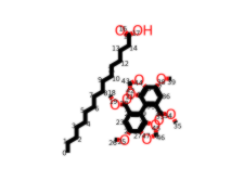 CCCCCCCCCCCCCCCC(=O)O.COC(=O)c1cc(OC)c2c(c1-c1c(C(=O)OC)cc(OC)c3c1OCO3)OCO2